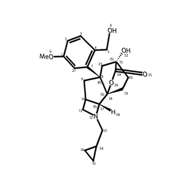 COc1ccc(CO)c([C@]23CC4CN(CC5CC5)[C@H]4[C@]24CC[C@](O)(C3)C(=O)O4)c1